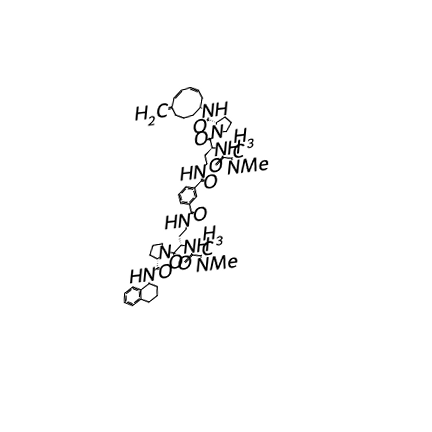 C=C1/C=C\C=C/C[C@H](NC(=O)[C@@H]2CCCN2C(=O)[C@H](CCNC(=O)c2cccc(C(=O)NCC[C@H](NC(=O)[C@H](C)NC)C(=O)N3CCC[C@H]3C(=O)N[C@@H]3CCCc4ccccc43)c2)NC(=O)[C@H](C)NC)CCC1